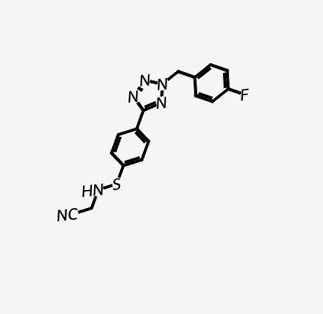 N#CCNSc1ccc(-c2nnn(Cc3ccc(F)cc3)n2)cc1